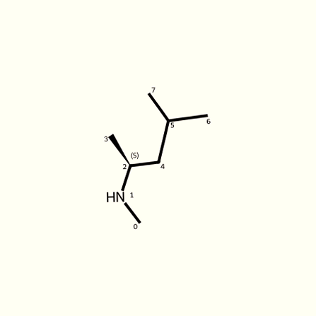 CN[C@@H](C)CC(C)C